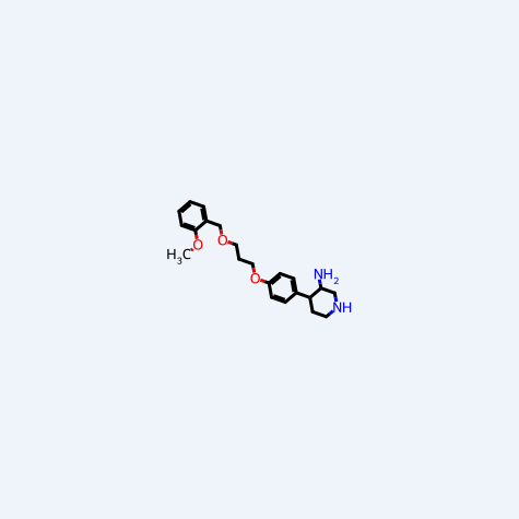 COc1ccccc1COCCCOc1ccc(C2CCNCC2N)cc1